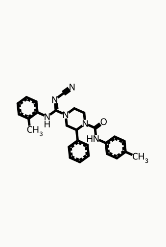 Cc1ccc(NC(=O)N2CCN(/C(=N\C#N)Nc3ccccc3C)CC2c2ccccc2)cc1